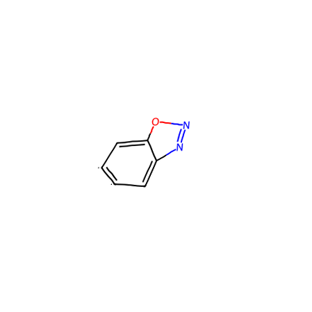 [c]1[c]cc2onnc2c1